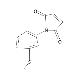 CSc1cccc(N2C(=O)C=CC2=O)c1